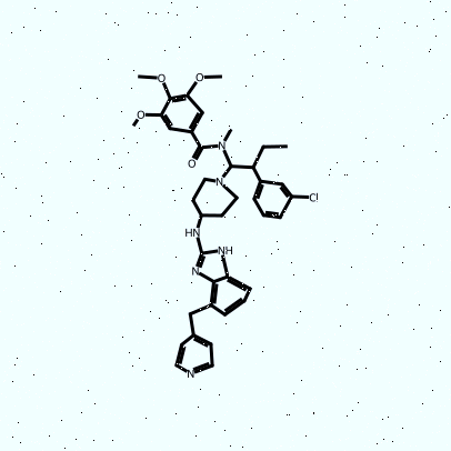 CCC(c1cccc(Cl)c1)C(N1CCC(Nc2nc3c(Cc4ccncc4)cccc3[nH]2)CC1)N(C)C(=O)c1cc(OC)c(OC)c(OC)c1